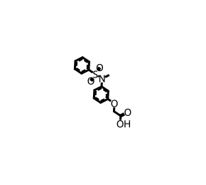 CN(c1cccc(OCC(=O)O)c1)S(=O)(=O)c1ccccc1